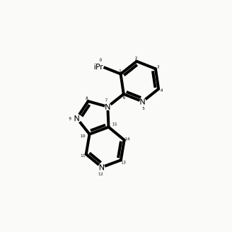 CC(C)c1cccnc1-n1cnc2cnccc21